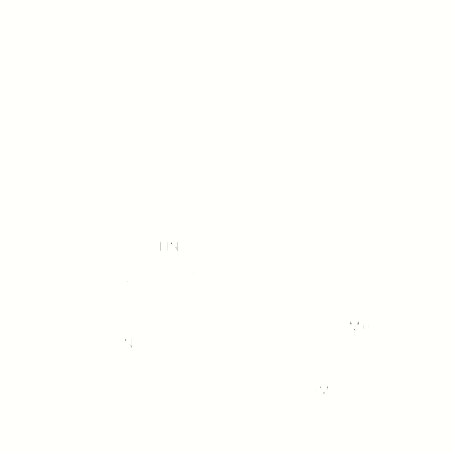 CCN(CC)C(=O)C(Cc1ccc(OC)c(OC)c1)C(=O)NS(=O)(=O)c1ccc2ccccc2c1